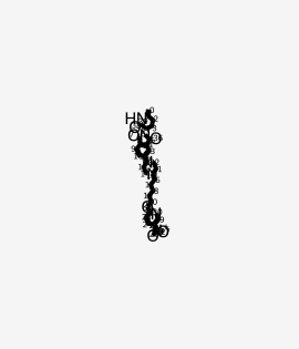 C=C1CCC(N2C(=O)c3ccc(N4CCN(CCCCCOc5ccc([N+](=O)[O-])cn5)CC4)cc3C2=O)C(=O)N1